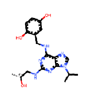 CC(C)n1cnc2c(NCc3cc(O)ccc3O)nc(NC[C@@H](C)O)nc21